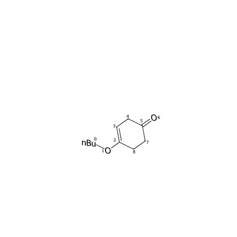 CCCCOC1=CCC(=O)CC1